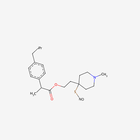 CC(C)Cc1ccc(C(C)C(=O)OCCC2(SN=O)CCN(C)CC2)cc1